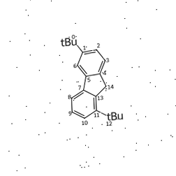 CC(C)(C)c1ccc2c(c1)-c1cccc(C(C)(C)C)c1[CH]2